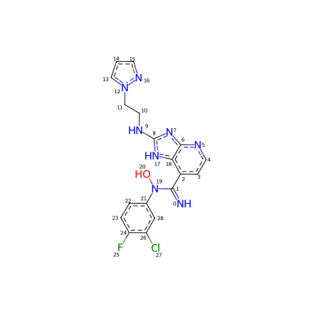 N=C(c1ccnc2nc(NCCn3cccn3)[nH]c12)N(O)c1ccc(F)c(Cl)c1